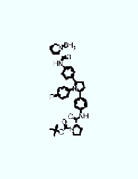 BN1CCC[C@H]1C(=O)Nc1ccc(C2CCC(c3ccc(NC(=O)[C@@H]4CCCN4C(=O)OC(C)(C)C)cc3)N2c2ccc(F)cc2)cc1